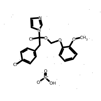 COc1ccccc1OCOC(Cl)(Cc1ccc(Cl)cc1)n1ccnc1.O=[N+]([O-])O